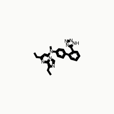 CCc1cc(N(C)c2ccc(-c3ccccc3-c3nnn[nH]3)cc2)n2cnc(CC)c2n1